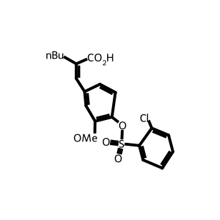 CCCCC(=Cc1ccc(OS(=O)(=O)c2ccccc2Cl)c(OC)c1)C(=O)O